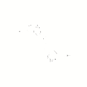 OCc1cnnc(OCCOc2cnc3ccc(O)cc3c2)c1